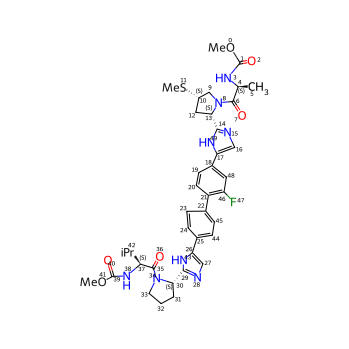 COC(=O)N[C@@H](C)C(=O)N1C[C@@H](SC)C[C@H]1c1ncc(-c2ccc(-c3ccc(-c4cnc([C@@H]5CCCN5C(=O)[C@@H](NC(=O)OC)C(C)C)[nH]4)cc3)c(F)c2)[nH]1